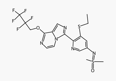 CCSc1cc(N=S(C)(C)=O)cnc1-c1ncc2c(OCC(F)(F)C(F)(F)F)nccn12